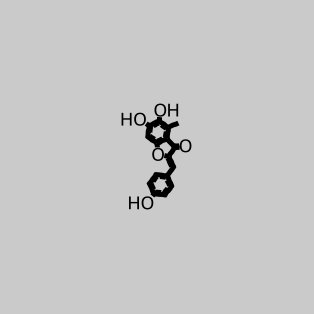 Cc1c(O)c(O)cc2c1C(=O)/C(=C/c1ccc(O)cc1)O2